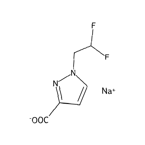 O=C([O-])c1ccn(CC(F)F)n1.[Na+]